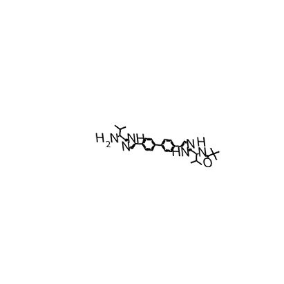 CC(C)[C@H](N)c1ncc(-c2ccc(-c3ccc(-c4cnc([C@@H](NC(=O)C(C)(C)C)C(C)C)[nH]4)cc3)cc2)[nH]1